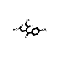 Cc1ccc(C(=O)C(CC(=O)O)C(=O)CS)cc1